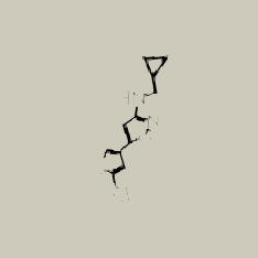 Clc1cc(-c2cc(NCC3CC3)no2)cs1